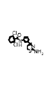 CC1(c2cccc(NC(=O)c3c(Cl)cccc3Cl)c2)CCSC(N)=N1